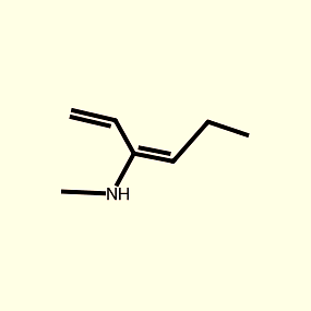 C=C/C(=C\CC)NC